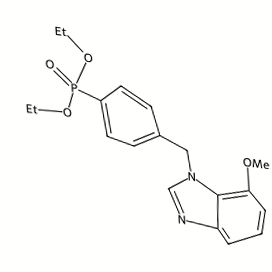 CCOP(=O)(OCC)c1ccc(Cn2cnc3cccc(OC)c32)cc1